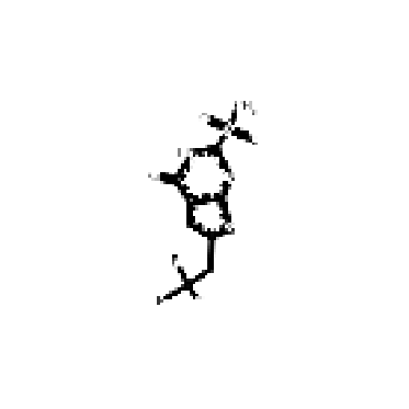 CS(=O)(=O)c1nc2sc(CC(F)(F)F)cc2c(=O)[nH]1